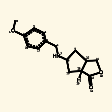 COc1ccc(CNC2CC3COC(=O)[C@@H]3C2)cc1